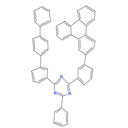 c1ccc(-c2ccc(-c3cccc(-c4nc(-c5ccccc5)nc(-c5cccc(-c6ccc7c8ccccc8c8ccccc8c7c6)c5)n4)c3)cc2)cc1